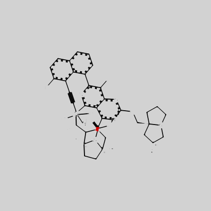 CC[C@@H]1Oc2nc(-c3cccc4ccc(F)c(C#C[Si](C(C)C)(C(C)C)C(C)C)c34)c(F)c3nc(OC[C@@]45CCCN4C[C@H](F)C5)nc(c23)N2C[C@H]3CC[C@@H]([C@@H]12)N3C(=O)OC(C)(C)C